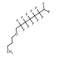 CCCCOCC(F)(F)C(F)(F)C(F)(F)C(F)(F)C(F)(F)C(F)F